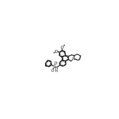 COc1cc2c3c(c4ccc(NS(=O)(=O)c5ccccc5)cc4c2cc1OC)CN1CCCCC1C3